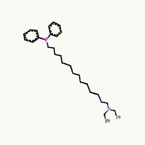 CC(C)CP(CCCCCCCCCCCCCCP(c1ccccc1)c1ccccc1)CC(C)C